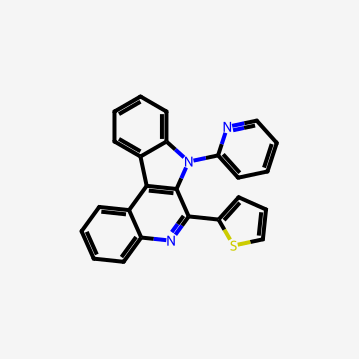 c1ccc(-n2c3ccccc3c3c4ccccc4nc(-c4cccs4)c32)nc1